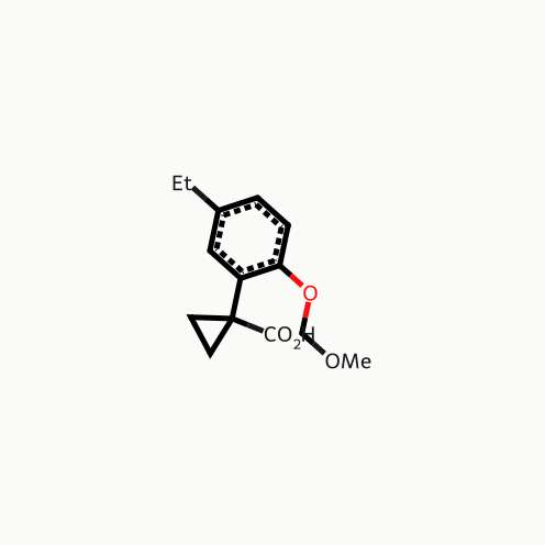 CCc1ccc(OCOC)c(C2(C(=O)O)CC2)c1